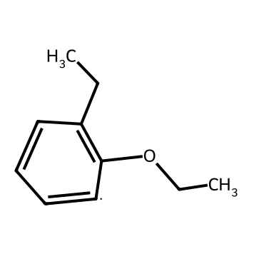 CCOc1[c]cccc1CC